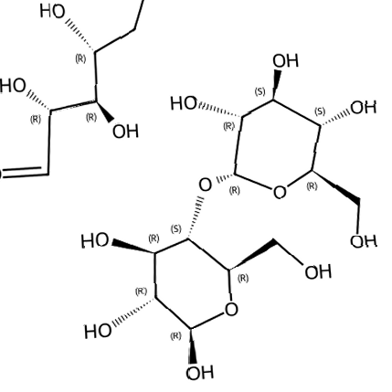 O=C[C@H](O)[C@H](O)[C@H](O)CO.OC[C@H]1O[C@H](O[C@H]2[C@H](O)[C@@H](O)[C@H](O)O[C@@H]2CO)[C@H](O)[C@@H](O)[C@@H]1O